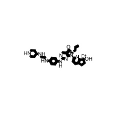 C=CCn1c(=O)c2cnc(Nc3ccc(NCCNC4CCNCC4)cc3)nc2n1-c1ccc2c(n1)[C@@](O)(CC)CC2